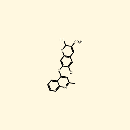 Cc1cc(Oc2cc3c(cc2Cl)C=C(C(=O)O)C(C(F)(F)F)O3)c2ccccc2n1